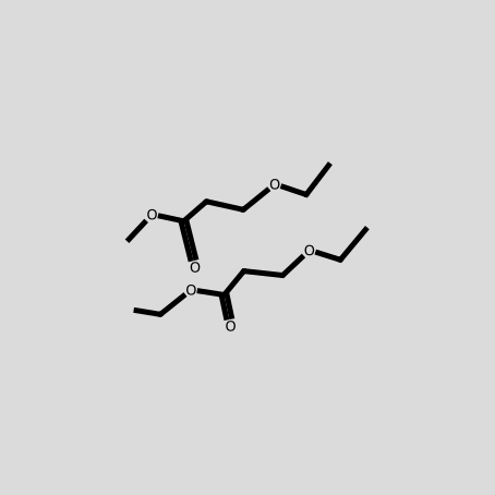 CCOCCC(=O)OC.CCOCCC(=O)OCC